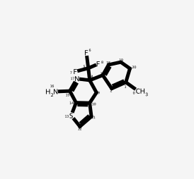 CC1=CC(C2(C(F)(F)F)Cc3ccsc3C(N)=N2)=CCC1